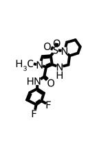 Cn1cc2c(c1C(=O)Nc1ccc(F)c(F)c1)NCC1CCCCN1S2(=O)=O